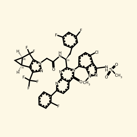 Cn1nc(NS(C)(=O)=O)c2c(Cl)ccc(-n3c([C@H](Cc4cc(F)cc(F)c4)NC(=O)Cn4nc(C(F)(F)F)c5c4C(F)(F)[C@@H]4C[C@H]54)nc4nc(-c5ccccc5F)ccc4c3=O)c21